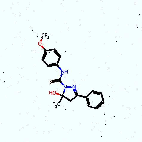 OC1(C(F)(F)F)CC(c2ccccc2)=NN1C(=S)Nc1ccc(OC(F)(F)F)cc1